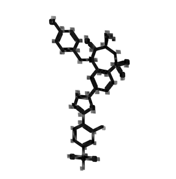 Cc1cc(S(C)(=O)=O)ccc1-c1nnc(-c2ccc3c(c2)N(Cc2ccc(Cl)cc2)C(=O)[C@@H](N)CS3(=O)=O)o1